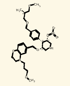 COCCCN1CCOc2ccc(CO[C@H]3CNC[C@@H](O[N+](=O)[O-])[C@H]3c3ccc(COC[C@@H](C)COC)cc3)cc21